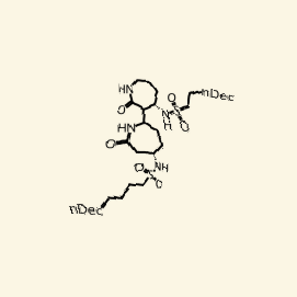 CCCCCCCCCCCCCCS(=O)(=O)N[C@H]1CCC(C2C(=O)NCCC[C@@H]2NS(=O)(=O)CCCCCCCCCCCC)NC(=O)C1